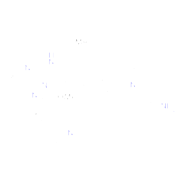 COc1cc(C2CCN(CC(N)=O)CC2)ccc1Nc1ncc2ccc(-c3ccncc3OC)n2n1